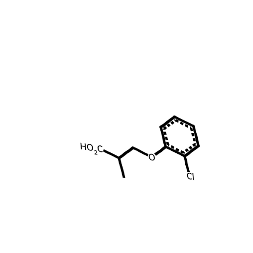 CC(COc1ccccc1Cl)C(=O)O